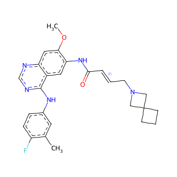 COc1cc2ncnc(Nc3ccc(F)c(C)c3)c2cc1NC(=O)/C=C/CN1CC2(CCC2)C1